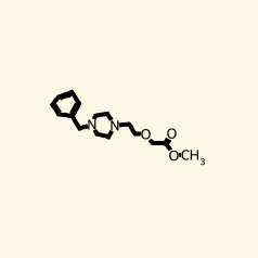 COC(=O)COCCN1CCN(Cc2ccccc2)CC1